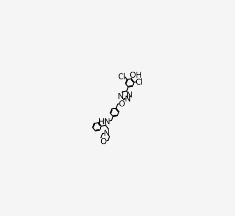 Oc1c(Cl)cc(-c2cnc(OCc3ccc(CNC(CN4CCOCC4)c4ccccc4)cc3)nn2)cc1Cl